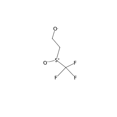 [O]CC[S+]([O-])C(F)(F)F